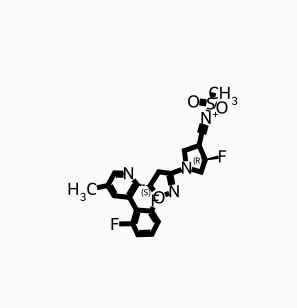 Cc1cnc([C@@H]2CC(N3CC(C#[N+]S(C)(=O)=O)[C@@H](F)C3)=NO2)c(-c2c(F)cccc2F)c1